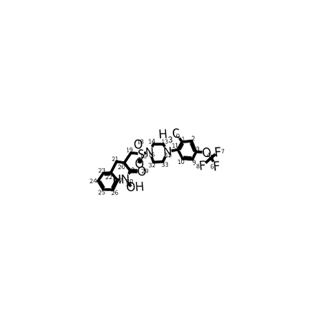 Cc1cc(OC(F)(F)F)ccc1N1CCN(S(=O)(=O)CC(Cc2ccccc2)C(=O)NO)CC1